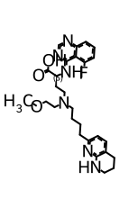 COCCN(CCCCc1ccc2c(n1)NCCC2)CC[C@H](Nc1ncnc2cccc(F)c12)C(=O)O